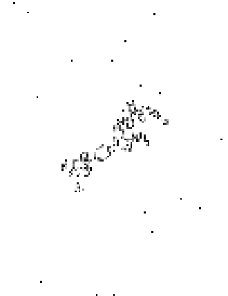 CC(C)S(=O)(=O)c1ccc(-c2cnc(N)c(-c3nnc(NC(=O)CN)o3)n2)cc1